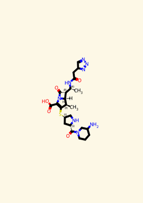 C[C@@H](NC(=O)CC1C=NN=N1)[C@H]1C(=O)N2C(C(=O)O)=C(S[C@@H]3CN[C@H](C(=O)N4CCCC(N)C4)C3)[C@H](C)[C@H]12